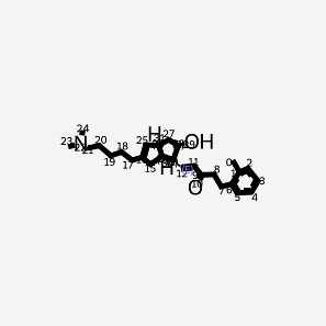 Cc1ccccc1CCC(=O)/C=C/[C@@H]1[C@H]2CC(CCCCCN(C)C)=C[C@H]2C[C@H]1O